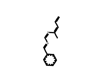 C=C\C=C(C)/N=C\N=C\c1ccccc1